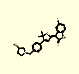 CC1(C)O/C(=C2/C(=O)Nc3ccc(F)cc32)C=C1c1ccc(CN2CCC(O)C2)cc1